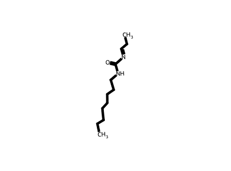 CCC=NC(=O)NCCCCCCCC